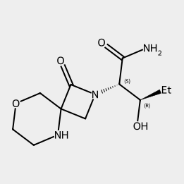 CC[C@@H](O)[C@@H](C(N)=O)N1CC2(COCCN2)C1=O